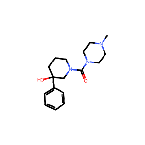 CN1CCN(C(=O)N2CCCC(O)(c3ccccc3)C2)CC1